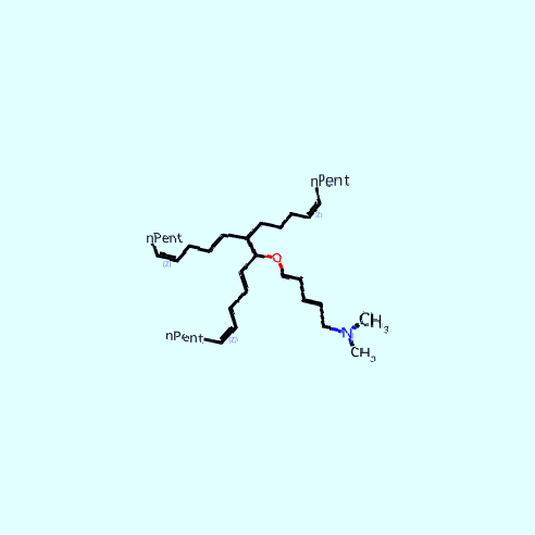 CCCCC/C=C\CCCC(CCC/C=C\CCCCC)C(CCC/C=C\CCCCC)OCCCCCN(C)C